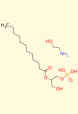 CCCCCCCCCCCC(=O)OC(CO)COP(=O)(O)O.NCCO